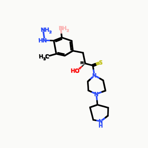 Bc1cc(C[C@@H](O)C(=S)N2CCN(C3CCNCC3)CC2)cc(C)c1NN